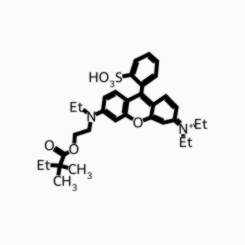 CCN(CCOC(=O)C(C)(C)CC)c1ccc2c(-c3ccccc3S(=O)(=O)O)c3ccc(=[N+](CC)CC)cc-3oc2c1